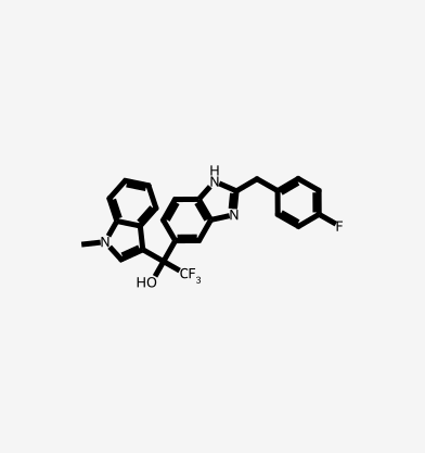 Cn1cc(C(O)(c2ccc3[nH]c(Cc4ccc(F)cc4)nc3c2)C(F)(F)F)c2ccccc21